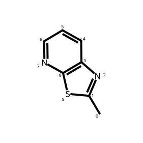 Cc1nc2[c]ccnc2s1